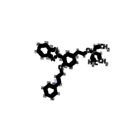 C=C[Si](C=C)(C=C)OCCc1ccc(OC/C=C/c2ccccc2)c(-n2nc3ccccc3n2)c1